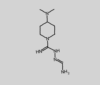 CN(C)C1CCN(C(=N)N/N=C/N)CC1